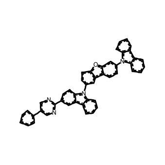 c1ccc(-c2cnc(-c3ccc4c(c3)c3ccccc3n4-c3ccc4oc5cc(-n6c7ccccc7c7ccccc76)ccc5c4c3)nc2)cc1